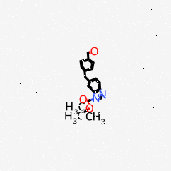 CC(C)(C)OC(=O)n1cnc2ccc(Cc3ccc(C=O)cc3)cc21